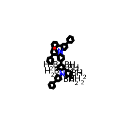 Bc1c(B)c(B)c2c(c1B)c1c(B)c(-c3ccc4c(c3)c3c(-c5ccccc5)cccc3n4-c3ccc(-c4ccccc4)cc3-c3ccccc3)c(B)c(B)c1n2-c1ccc(-c2ccccc2)cc1